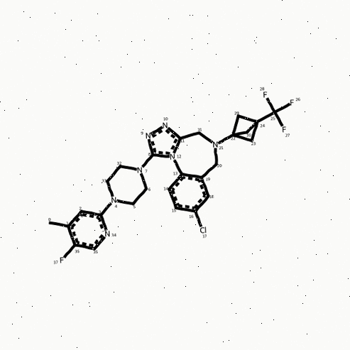 Cc1cc(N2CCN(c3nnc4n3-c3ccc(Cl)cc3CN(C35CC(C(F)(F)F)(C3)C5)C4)CC2)ncc1F